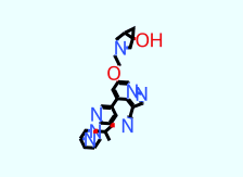 CC(C)CN1C2CC1CN(c1ccc(-c3cc(OCCN4CC5CC5(O)C4)cn4ncc(C#N)c34)cn1)C2